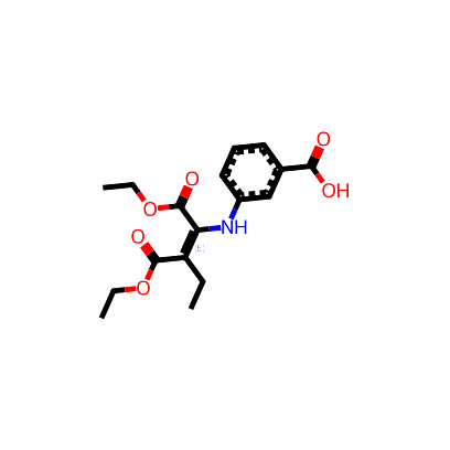 CCOC(=O)/C(CC)=C(/Nc1cccc(C(=O)O)c1)C(=O)OCC